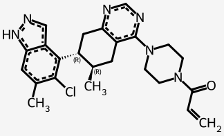 C=CC(=O)N1CCN(c2ncnc3c2C[C@@H](C)[C@H](c2c(Cl)c(C)cc4[nH]ncc24)C3)CC1